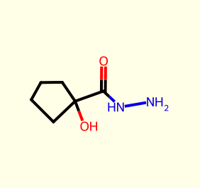 NNC(=O)C1(O)CCCC1